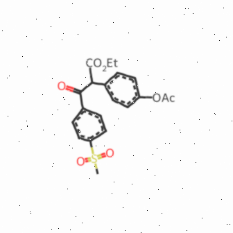 CCOC(=O)C(C(=O)c1ccc(S(C)(=O)=O)cc1)c1ccc(OC(C)=O)cc1